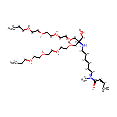 COCCOCCOCCOCCOCC(CO)(COCCOCCOCCOCCOC)NCCCCCCN(C)C(=O)/C=C\C=O